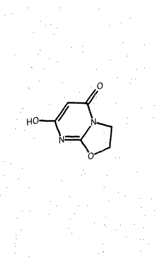 O=c1cc(O)nc2n1CCO2